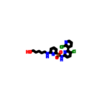 O=S(=O)(Nc1ccc(Cl)c(-c2cccnc2Cl)n1)c1cccc(NCCCCCO)n1